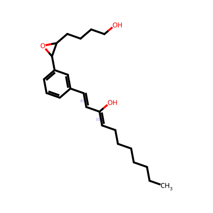 CCCCCCC/C=C(O)/C=C/c1cccc(C2OC2CCCCO)c1